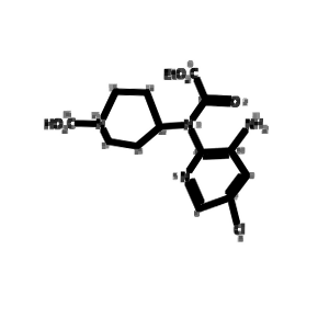 CCOC(=O)C(=O)N(c1ncc(Cl)cc1N)C1CCN(C(=O)O)CC1